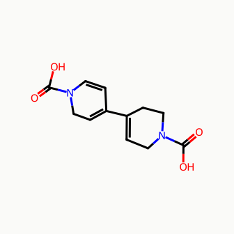 O=C(O)N1C=CC(C2=CCN(C(=O)O)CC2)=CC1